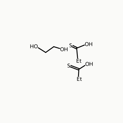 CCC(O)=S.CCC(O)=S.OCCO